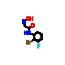 O=C(/C=N\O)Nc1cccc(F)c1Br